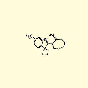 Cc1ccc(C2(C(=N)C3CCCCCC3=N)CCCC2)cc1